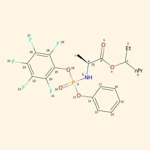 CCCC(CC)OC(=O)[C@H](C)NP(=O)(Oc1ccccc1)Oc1c(F)c(F)c(F)c(F)c1F